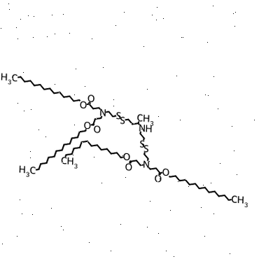 CCCCCCCCCCCCCCOC(=O)CCN(CCSSCCNC(C)CCSSCCN(CCC(=O)OCCCCCCCCCCCCCC)CCC(=O)OCCCCCCCCCCCCCC)CCC(=O)OCCCCCCCCCCCCCC